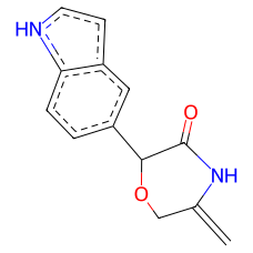 C=C1COC(c2ccc3[nH]ccc3c2)C(=O)N1